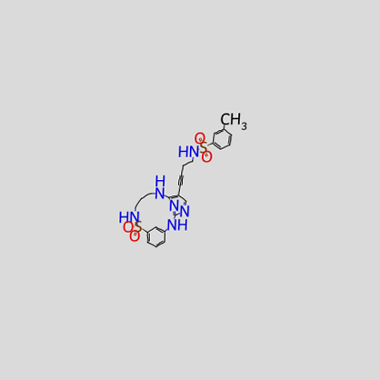 Cc1cccc(S(=O)(=O)NCCC#Cc2cnc3nc2NCCCNS(=O)(=O)c2cccc(c2)N3)c1